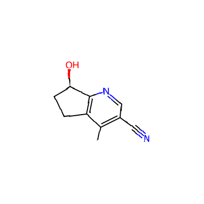 Cc1c(C#N)cnc2c1CC[C@H]2O